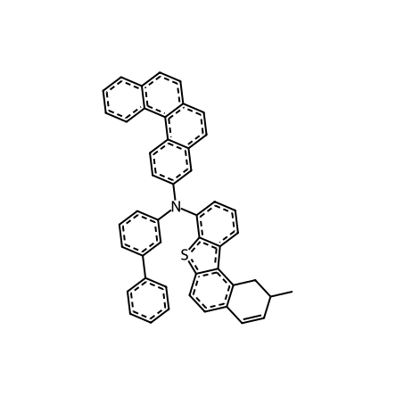 CC1C=Cc2ccc3sc4c(N(c5cccc(-c6ccccc6)c5)c5ccc6c(ccc7ccc8ccccc8c76)c5)cccc4c3c2C1